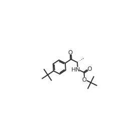 C[C@H](NC(=O)OC(C)(C)C)C(=O)c1ccc(C(C)(C)C)cc1